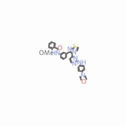 COc1ccccc1C(=O)Nc1cccc(-c2nc3sccn3c2-c2ccnc(Nc3ccc(N4CCOCC4)cc3)n2)c1